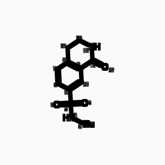 CCC(C)NS(=O)(=O)c1ccc2c(c1)C(=O)NCC2